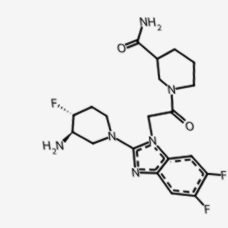 NC(=O)C1CCCN(C(=O)Cn2c(N3CC[C@@H](F)[C@H](N)C3)nc3cc(F)c(F)cc32)C1